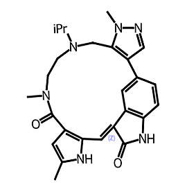 Cc1cc2c([nH]1)/C=C1\C(=O)Nc3ccc(cc31)-c1cnn(C)c1CN(C(C)C)CCN(C)C2=O